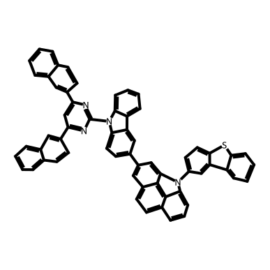 c1ccc2cc(-c3cc(-c4ccc5ccccc5c4)nc(-n4c5ccccc5c5cc(-c6cc7ccc8cccc9c8c7c(c6)n9-c6ccc7sc8ccccc8c7c6)ccc54)n3)ccc2c1